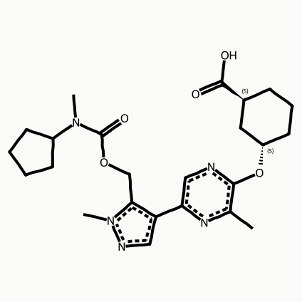 Cc1nc(-c2cnn(C)c2COC(=O)N(C)C2CCCC2)cnc1O[C@H]1CCC[C@H](C(=O)O)C1